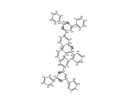 c1ccc(-c2cc(-c3ccc4c(ccc5c6ccc(-c7cc(-c8ccccc8)nc(-c8ccccc8)n7)cc6nc(-c6ccccc6)c45)c3)nc(-c3ccccc3)n2)cc1